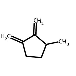 C=C1CCC(C)C1=C